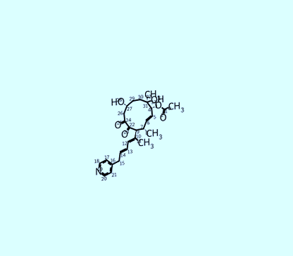 CC(=O)O[C@@H]1/C=C/[C@H](C)[C@@H](/C(C)=C/C=C/Cc2ccncc2)C(=O)C(=O)C[C@H](O)CC[C@@]1(C)O